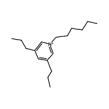 CCCCCC[n+]1cc(CCC)cc(CCC)c1